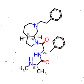 CN[C@@H](C)C(=O)N[C@@H](Cc1ccccc1)C(=O)N1CC[C@H]2CCCN(CCc3ccccc3)C[C@H]21